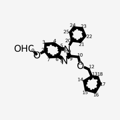 O=COc1ccc2c(c1)nc(COCc1ccccc1)n2-c1ccccc1